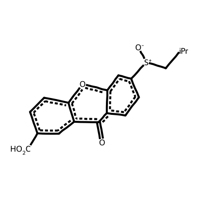 CC(C)C[S+]([O-])c1ccc2c(=O)c3cc(C(=O)O)ccc3oc2c1